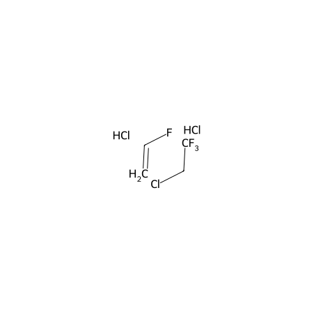 C=CF.Cl.Cl.FC(F)(F)CCl